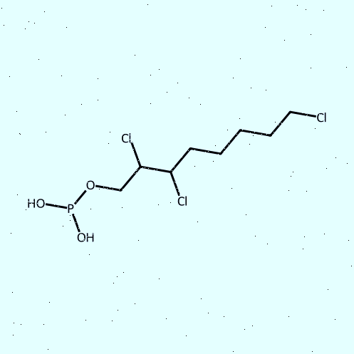 OP(O)OCC(Cl)C(Cl)CCCCCCl